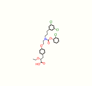 CCOC(Cc1ccc(OCCN(CCCc2cc(Cl)cc(Cl)c2)C(=O)Oc2ccccc2Cl)cc1)C(=O)O